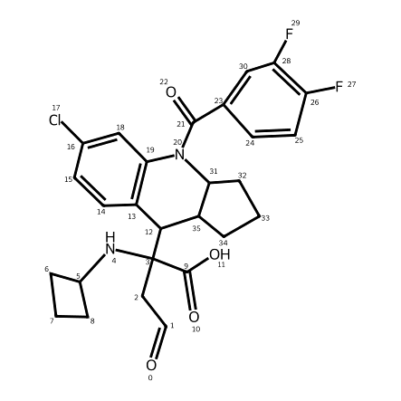 O=CCC(NC1CCC1)(C(=O)O)C1c2ccc(Cl)cc2N(C(=O)c2ccc(F)c(F)c2)C2CCCC21